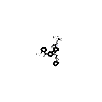 CC(=O)O/N=C1\COc2c1ccc1c2c2cc(C(=O)c3ccccc3C)ccc2n1CCOc1ccccc1